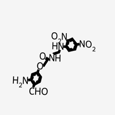 Nc1cc(OCC(=O)NCCNc2ccc([N+](=O)[O-])cc2[N+](=O)[O-])ccc1C=O